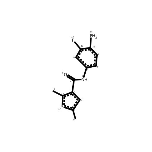 Cc1cc(C(=O)Nc2ccc(P)c(F)c2)c(C)s1